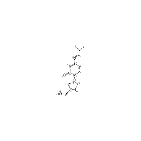 CN(C)C=Nc1ccn([C@H]2CS[C@@H](CO)O2)c(=O)n1